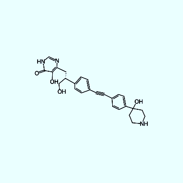 O=c1[nH]cnc(C[C@@H](CO)c2ccc(C#Cc3ccc(C4(O)CCNCC4)cc3)cc2)c1O